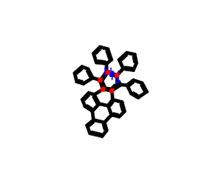 c1ccc(-c2cc(-c3cccc4c5ccccc5c5cccc(-c6cc(-c7ccccc7)nc(-c7ccccc7)c6)c5c34)cc(-c3ccccc3)n2)cc1